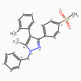 Cc1ccccc1-c1c(-c2ccc(S(C)(=O)=O)cc2)nn(Cc2ccccc2)c1C(F)(F)F